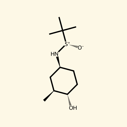 C[C@H]1C[C@@H](N[S@@+]([O-])C(C)(C)C)CC[C@@H]1O